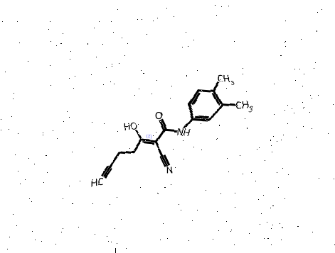 C#CCC/C(O)=C(\C#N)C(=O)Nc1ccc(C)c(C)c1